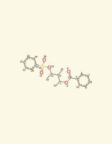 CC(OC(=O)c1ccccc1)C(C)C(C)OS(=O)(=O)c1ccccc1